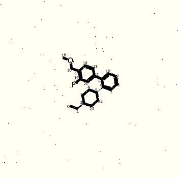 CC[C@H]1CC[C@H](c2ccccc2-c2ccc(COC)c(F)c2)CC1